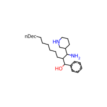 CCCCCCCCCCCCCCCCC(C(O)c1ccccc1)C(N)C1CCCNC1